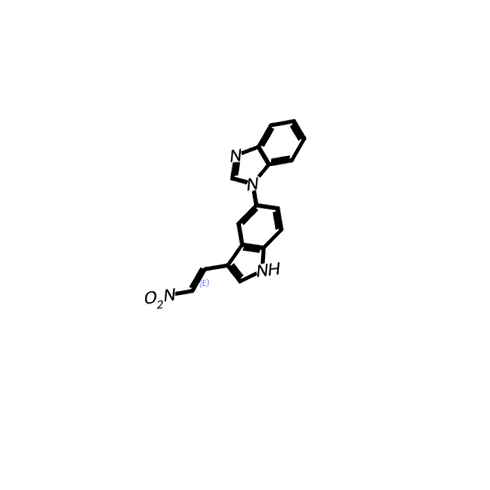 O=[N+]([O-])/C=C/c1c[nH]c2ccc(-n3cnc4ccccc43)cc12